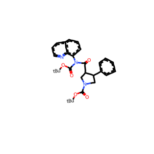 CC(C)(C)OC(=O)N1CC(C(=O)N(C(=O)OC(C)(C)C)c2cccc3cccnc23)C(c2ccccc2)C1